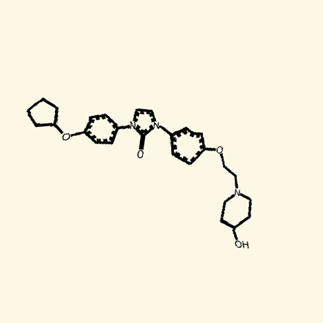 O=c1n(-c2ccc(OCCN3CCC(O)CC3)cc2)ccn1-c1ccc(OC2CCCC2)cc1